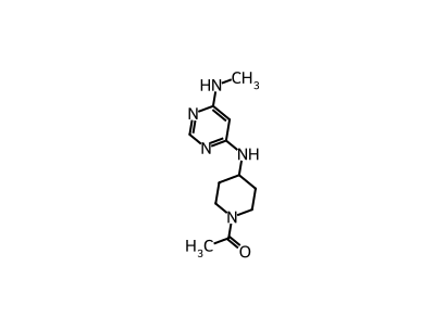 CNc1cc(NC2CCN(C(C)=O)CC2)ncn1